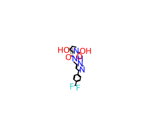 O=C(NCc1cc(-c2ccc(C(F)F)cc2)ncn1)[C@@H]1[C@H](O)CCN1C(=O)O